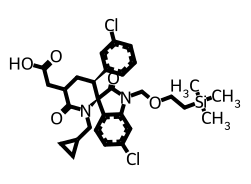 C[Si](C)(C)CCOCN1C(=O)[C@]2(c3ccc(Cl)cc31)[C@H](c1cccc(Cl)c1)CC(CC(=O)O)C(=O)N2CC1CC1